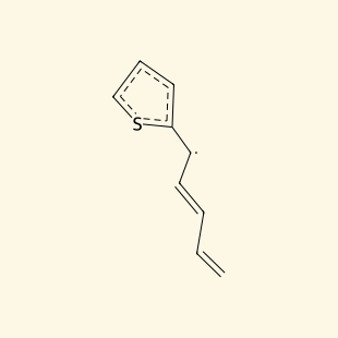 C=CC=C[CH]c1cccs1